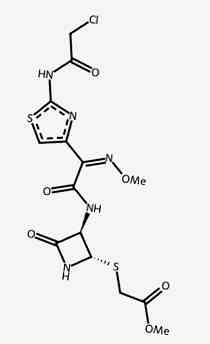 CON=C(C(=O)N[C@@H]1C(=O)N[C@H]1SCC(=O)OC)c1csc(NC(=O)CCl)n1